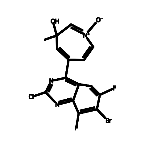 CC1(O)C=C(c2nc(Cl)nc3c(F)c(Br)c(F)cc23)C=C[N+]([O-])=C1